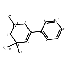 CN1CC(c2cccnc2)=CC(C)(Cl)C1